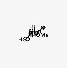 COc1ccc(Nc2nccc(NCC3=CC=CCC(O)=C3)n2)cc1OCCCN1CCCC1